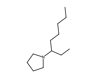 CCCCCC(CC)N1CCCC1